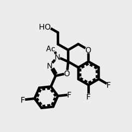 CC(=O)N1N=C(c2cc(F)ccc2F)OC12c1cc(F)c(F)cc1OCC2CCO